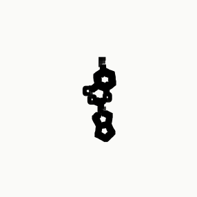 O=C(Oc1ccc(F)cc1Cl)N1CC2CCCC2C1